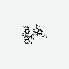 CSc1ccc(S(=O)(=O)C[C@@H]2CCNC[C@@H]2NC(=O)CNC(=O)c2cc(C(F)(F)F)ccc2N)cc1